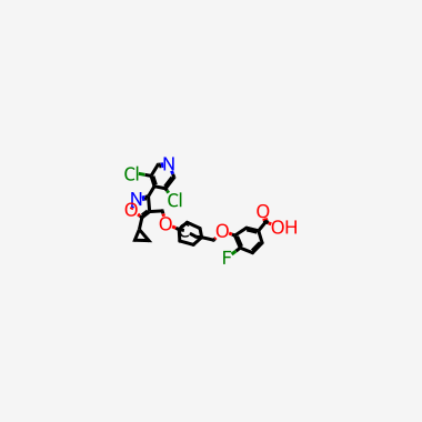 O=C(O)c1ccc(F)c(OCC23CCC(OCc4c(-c5c(Cl)cncc5Cl)noc4C4CC4)(CC2)CC3)c1